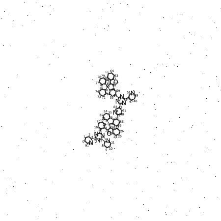 c1ccc(-c2nc(-c3ccccn3)nc(-c3cccc4c3-c3oc5ccccc5c3C43c4ccccc4-c4c(-c5ccc(-c6nc(-c7cccnc7)nc(-c7ccc8c(c7)-c7oc9ccccc9c7C87c8ccccc8-c8ccccc87)n6)cn5)cccc43)n2)nc1